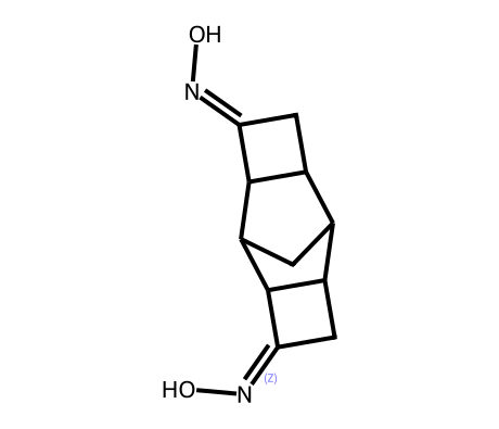 ON=C1CC2C3CC(C12)C1/C(=N\O)CC31